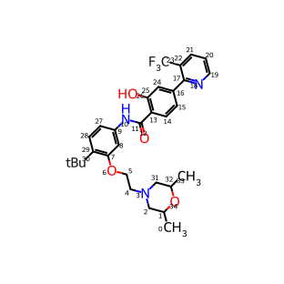 CC1CN(CCOc2cc(NC(=O)c3ccc(-c4ncccc4C(F)(F)F)cc3O)ccc2C(C)(C)C)CC(C)O1